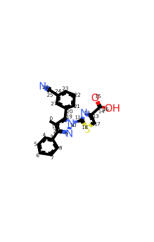 Cc1c(-c2ccccc2)nn(-c2nc(C(=O)O)cs2)c1-c1cccc(C#N)c1